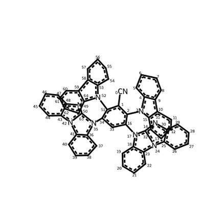 N#Cc1c(-n2c3ccccc3c3ccccc32)c(-n2c3ccccc3n3c4ccccc4nc23)cc(-n2c3ccccc3n3c4ccccc4nc23)c1-n1c2ccccc2c2ccccc21